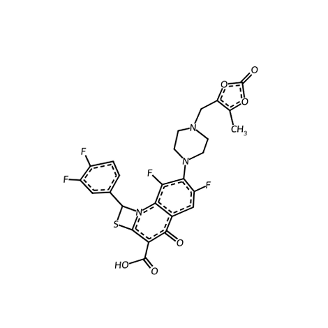 Cc1oc(=O)oc1CN1CCN(c2c(F)cc3c(=O)c(C(=O)O)c4n(c3c2F)C(c2ccc(F)c(F)c2)S4)CC1